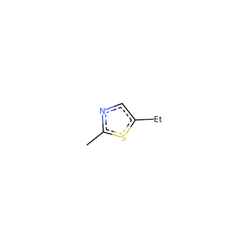 [CH2]Cc1cnc(C)s1